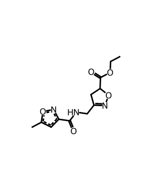 CCOC(=O)C1CC(CNC(=O)c2cc(C)on2)=NO1